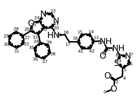 COC(=O)Cc1cnc(NC(=O)Nc2ccc(CCNc3ncnc4oc(-c5ccccc5)c(-c5ccccc5)c34)cc2)s1